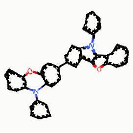 c1ccc(N2c3ccccc3Oc3cc(-c4ccc5c(c4)c4oc6ccccc6c4n5-c4ccccc4)ccc32)cc1